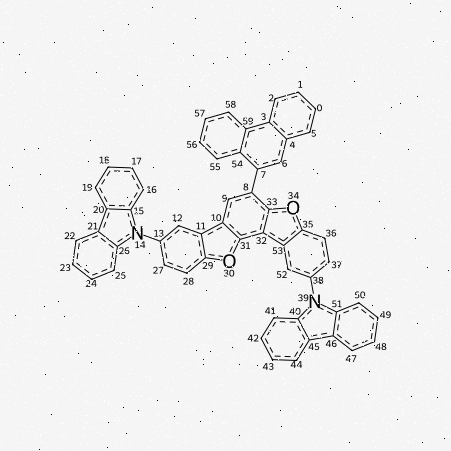 c1ccc2c(c1)cc(-c1cc3c4cc(-n5c6ccccc6c6ccccc65)ccc4oc3c3c1oc1ccc(-n4c5ccccc5c5ccccc54)cc13)c1ccccc12